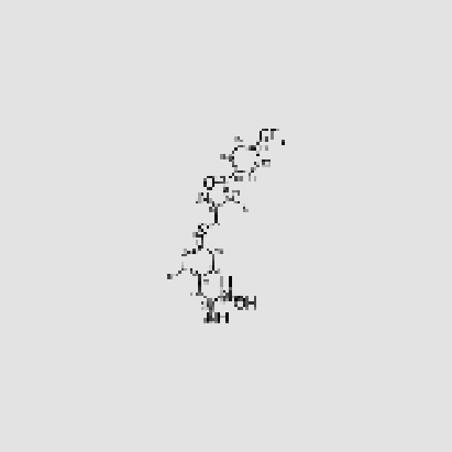 Cc1cc(SCc2noc(-c3ccc(C(F)(F)F)cc3)c2C)ccc1CC(=N)NO